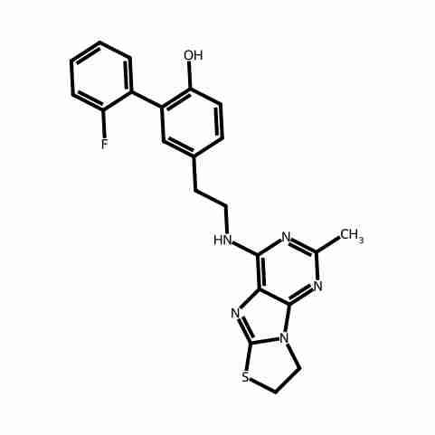 Cc1nc(NCCc2ccc(O)c(-c3ccccc3F)c2)c2nc3n(c2n1)CCS3